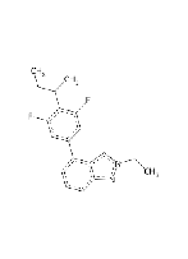 CCC(C)c1c(F)cc(-c2cccc3nn(CC)cc23)cc1F